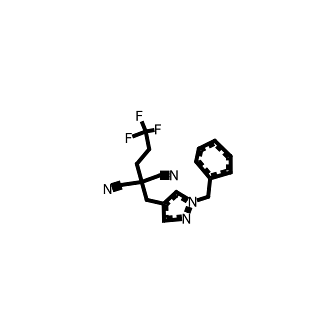 N#CC(C#N)(CCC(F)(F)F)Cc1cnn(Cc2ccccc2)c1